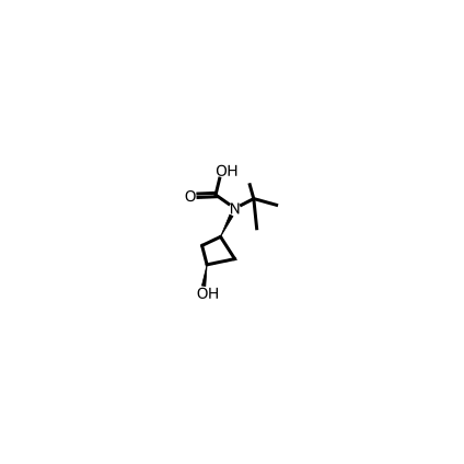 CC(C)(C)N(C(=O)O)[C@H]1C[C@@H](O)C1